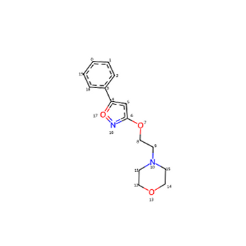 c1ccc(-c2cc(OCCN3CCOCC3)no2)cc1